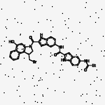 CCC(=O)Nc1ccc2[nH]c(C(=O)Nc3ccc4[nH]c(C(=O)N5CC(CBr)c6c5cc(O)c5ccccc65)cc4c3)cc2c1